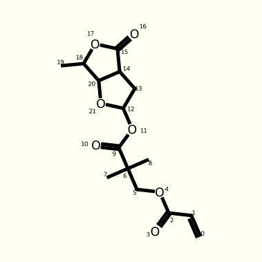 C=CC(=O)OCC(C)(C)C(=O)OC1CC2C(=O)OC(C)C2O1